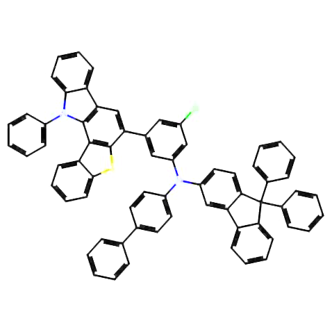 Clc1cc(-c2cc3c4ccccc4n(-c4ccccc4)c3c3c2sc2ccccc23)cc(N(c2ccc(-c3ccccc3)cc2)c2ccc3c(c2)-c2ccccc2C3(c2ccccc2)c2ccccc2)c1